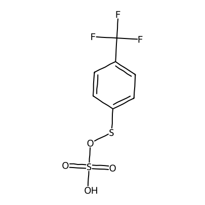 O=S(=O)(O)OSc1ccc(C(F)(F)F)cc1